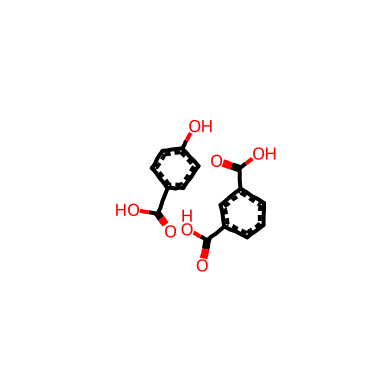 O=C(O)c1ccc(O)cc1.O=C(O)c1cccc(C(=O)O)c1